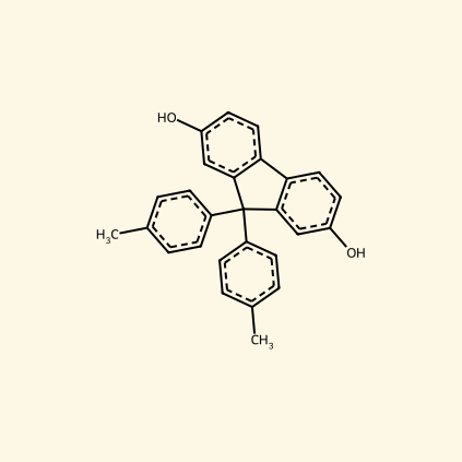 Cc1ccc(C2(c3ccc(C)cc3)c3cc(O)ccc3-c3ccc(O)cc32)cc1